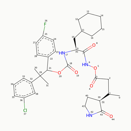 CC(CC(=O)ONC(=O)[C@H](CC1CCCCC1)NC(=O)OC(c1ccc(F)cc1)C(C)(C)c1cccc(Cl)c1)[C@@H]1CCNC1=O